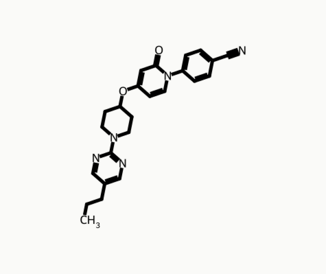 CCCc1cnc(N2CCC(Oc3ccn(-c4ccc(C#N)cc4)c(=O)c3)CC2)nc1